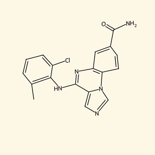 Cc1cccc(Cl)c1Nc1nc2cc(C(N)=O)ccc2n2cncc12